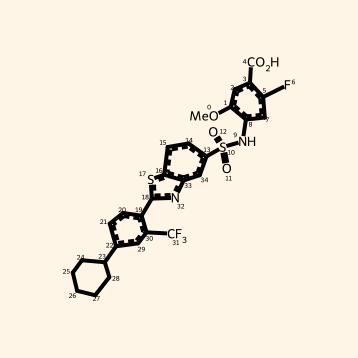 COc1cc(C(=O)O)c(F)cc1NS(=O)(=O)c1ccc2sc(-c3ccc(C4CCCCC4)cc3C(F)(F)F)nc2c1